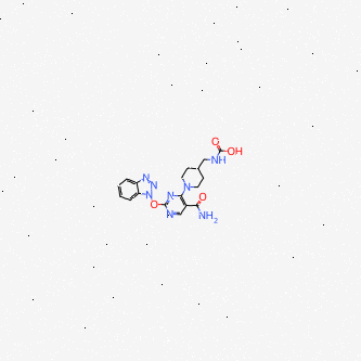 NC(=O)c1cnc(On2nnc3ccccc32)nc1N1CCC(CNC(=O)O)CC1